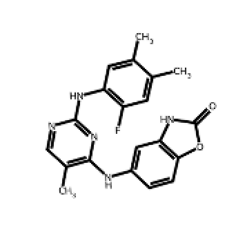 Cc1cc(F)c(Nc2ncc(C)c(Nc3ccc4oc(=O)[nH]c4c3)n2)cc1C